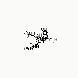 CC(C)(C)OC(=O)NCCCC[C@H](NC(=O)[C@@H](N)CCCNC(N)=O)C(=O)N[C@@H](Cc1ccc(O)cc1)C(=O)O